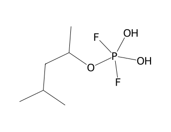 CC(C)CC(C)OP(O)(O)(F)F